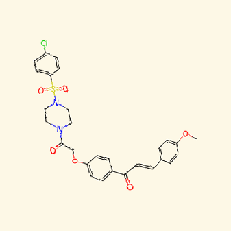 COc1ccc(C=CC(=O)c2ccc(OCC(=O)N3CCN(S(=O)(=O)c4ccc(Cl)cc4)CC3)cc2)cc1